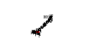 OC(c1cn(-c2ccc(N3CCN(c4ccc(-c5ccc(C(F)(F)[C@](O)(Cn6cnnn6)c6ccc(F)cc6F)nc5)cc4)CC3)cc2)nn1)C(F)(F)F